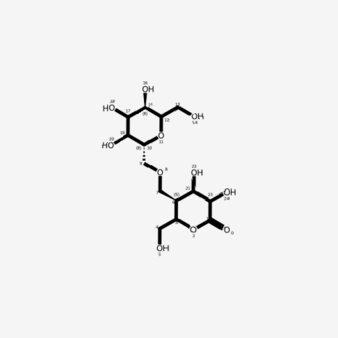 O=C1OC(CO)[C@@H](COC[C@H]2OC(CO)[C@H](O)C(O)C2O)C(O)C1O